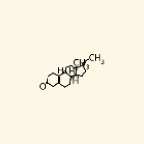 CC=C1CC[C@H]2[C@@H]3CCC4=C(CCC(=O)C4)[C@H]3CC[C@]12C